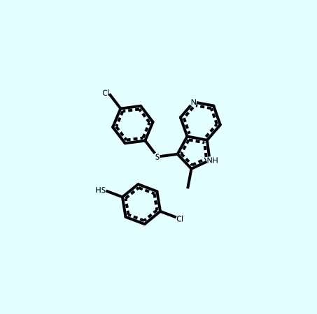 Cc1[nH]c2ccncc2c1Sc1ccc(Cl)cc1.Sc1ccc(Cl)cc1